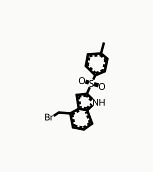 Cc1ccc(S(=O)(=O)c2cc3c(CBr)cccc3[nH]2)cc1